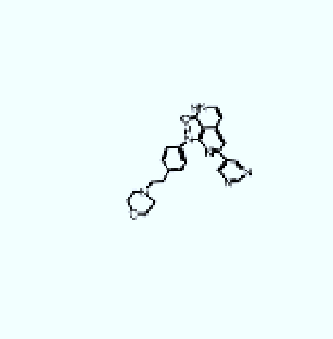 O=c1[nH]ccc2cc(-c3cncnc3)nc(Nc3ccc(CCN4CCOCC4)cc3)c12